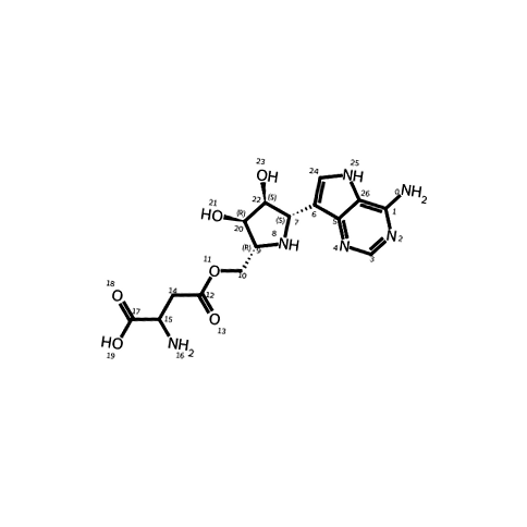 Nc1ncnc2c([C@@H]3N[C@H](COC(=O)CC(N)C(=O)O)[C@@H](O)[C@H]3O)c[nH]c12